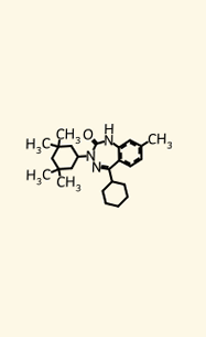 Cc1ccc2c(c1)NC(=O)N(C1CC(C)(C)CC(C)(C)C1)N=C2C1CCCCC1